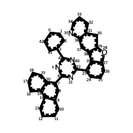 c1ccc(-c2nc(-c3cc4ccccc4c4ccccc34)nc(-c3cccc4oc5cc6cccnc6cc5c34)n2)cc1